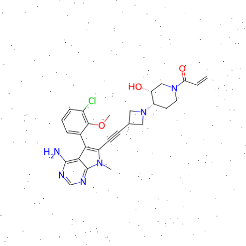 C=CC(=O)N1CC[C@H](N2CC(C#Cc3c(-c4cccc(Cl)c4OC)c4c(N)ncnc4n3C)C2)[C@H](O)C1